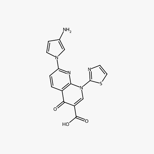 Nc1ccn(-c2ccc3c(=O)c(C(=O)O)cn(-c4nccs4)c3n2)c1